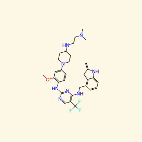 C=C1Cc2c(CNc3nc(Nc4ccc(N5CCC(NCCN(C)C)CC5)cc4OC)ncc3C(F)(F)F)cccc2N1